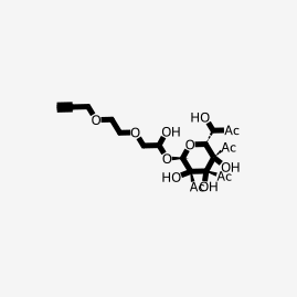 C#CCOCCOCC(O)O[C@H]1O[C@H](C(O)C(C)=O)[C@](O)(C(C)=O)[C@@](O)(C(C)=O)[C@@]1(O)C(C)=O